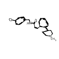 CN1CCC(c2ccccc2/C=C\C(=O)NCc2ccc(Cl)cc2)CC1